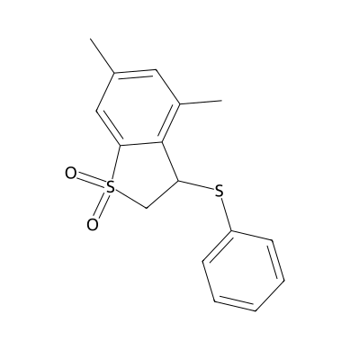 Cc1cc(C)c2c(c1)S(=O)(=O)CC2Sc1ccccc1